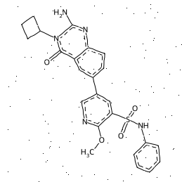 COc1ncc(-c2ccc3nc(N)n(C4CCC4)c(=O)c3c2)cc1S(=O)(=O)Nc1ccccc1